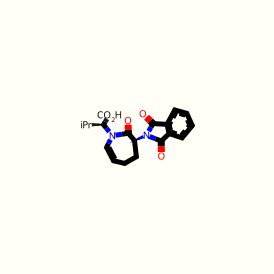 CC(C)[C@@H](C(=O)O)N1C=CCC[C@H](N2C(=O)c3ccccc3C2=O)C1=O